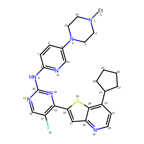 CCN1CCN(c2ccc(Nc3ncc(F)c(-c4cc5nccc(C6CCCC6)c5s4)n3)nc2)CC1